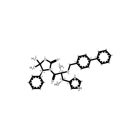 CC1(C)OC(=O)N(C(=O)[C@@](C)(OCc2ccc(-c3ccccc3)cc2)[C@@H](O)c2c[nH]cn2)[C@H]1c1ccccc1